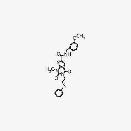 COc1cccc(CNC(=O)c2cc3c(=O)n(CCSc4ccccc4)c(=O)n(C)c3s2)c1